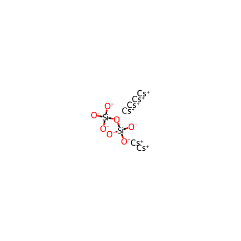 [Cs+].[Cs+].[Cs+].[Cs+].[Cs+].[Cs+].[O-][Si]([O-])([O-])O[Si]([O-])([O-])[O-]